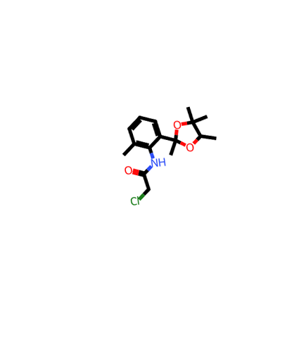 Cc1cccc(C2(C)OC(C)C(C)(C)O2)c1NC(=O)CCl